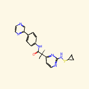 CC(C)(C(=O)Nc1ccc(-c2cnccn2)cc1)c1ccnc(NSC2CC2)n1